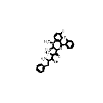 CC(C(=O)C1N=C(c2ccccc2F)c2cc(Cl)ccc2N(C)C1N)C(O)C(N)Cc1ccccc1